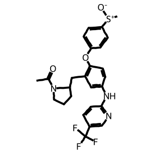 CC(=O)N1CCCC1Cc1cc(Nc2ccc(C(F)(F)F)cn2)ccc1Oc1ccc([S+](C)[O-])cc1